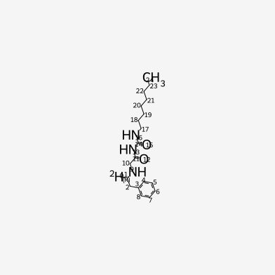 [2H][C@H](Cc1ccccc1)NCC(=O)NC(=O)NCCCCCCCC